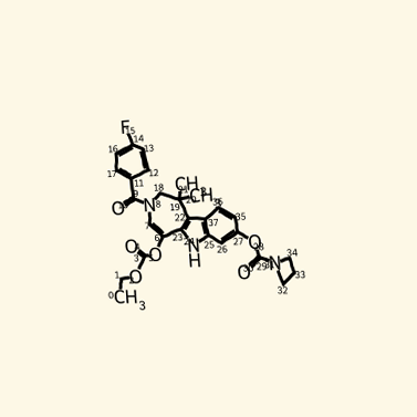 CCOC(=O)OC1=CN(C(=O)c2ccc(F)cc2)CC(C)(C)c2c1[nH]c1cc(OC(=O)N3CCC3)ccc21